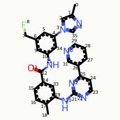 Cc1cn(-c2cc(CF)cc(NC(=O)c3ccc(C)c(Nc4nccc(-c5cccnc5)n4)c3)c2)cn1